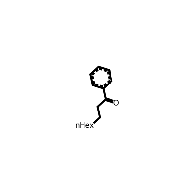 CCCCCCCCC(=O)c1ccccc1